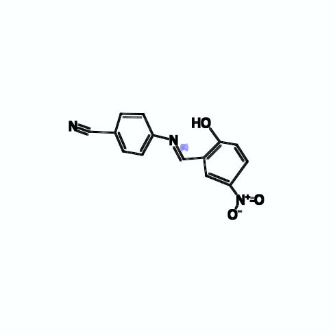 N#Cc1ccc(/N=C/c2cc([N+](=O)[O-])ccc2O)cc1